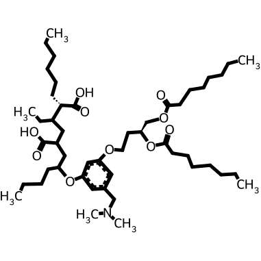 CCCCCCCC(=O)OC[C@H](CCOc1cc(CN(C)C)cc(OC(CCCC)CC(CC(CC)[C@H](CCCCCC)C(=O)O)C(=O)O)c1)OC(=O)CCCCCCC